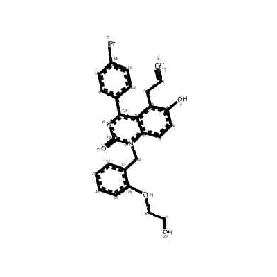 C=CCc1c(O)ccc2c1c(-c1ccc(C(C)C)cc1)nc(=O)n2Cc1ccccc1OCCO